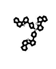 c1ccc2c(c1)ccc1oc3c(N(c4ccc(-c5cccc6c5sc5ccc7ccccc7c56)cc4)c4ccc(-c5cccc6c5sc5ccc7ccccc7c56)cc4)cccc3c12